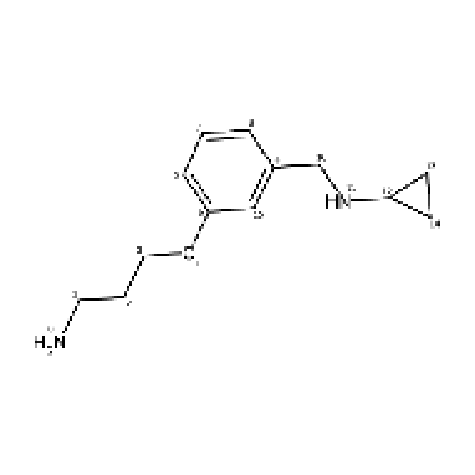 NCCCOc1cccc(CNC2CC2)c1